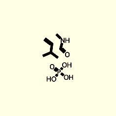 C=CC(C)C.CNC=O.O=P(O)(O)O